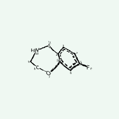 Fc1ccc2c(c1)OCCNS2